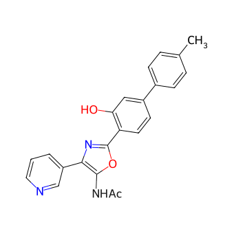 CC(=O)Nc1oc(-c2ccc(-c3ccc(C)cc3)cc2O)nc1-c1cccnc1